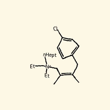 CCCCCCC[N+](CC)(CC)CC(C)=C(C)Cc1ccc(Cl)cc1